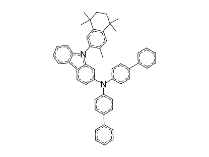 Cc1cc2c(cc1-n1c3ccccc3c3ccc(N(c4ccc(-c5ccccc5)cc4)c4ccc(-c5ccccc5)cc4)cc31)C(C)(C)CCC2(C)C